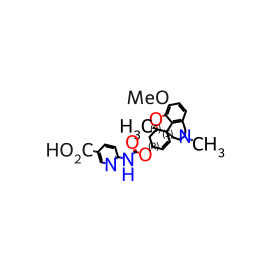 COc1ccc2c3c1O[C@@]1(C)C[C@@H](OC(=O)Nc4ccc(C(=O)O)cn4)C=C[C@@]31CCN(C)C2